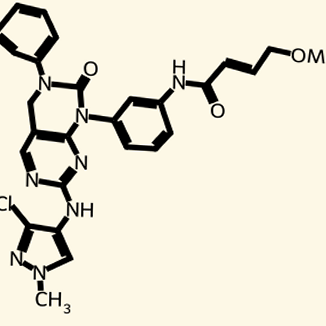 COC/C=C/C(=O)Nc1cccc(N2C(=O)N(c3ccccc3)Cc3cnc(Nc4cn(C)nc4Cl)nc32)c1